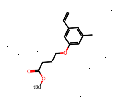 C=Cc1cc(C)cc(OCCCC(=O)OC(C)(C)C)c1